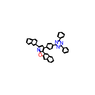 c1ccc(-c2nc(-c3ccccc3)nc(-c3ccc(-c4cc(-c5ccc6ccccc6c5)nc5oc6cc7ccccc7cc6c45)cc3)n2)cc1